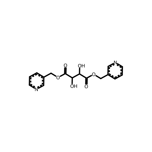 O=C(OCc1cccnc1)C(O)C(O)C(=O)OCc1cccnc1